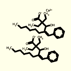 CCCCCCC(=Cc1ccccc1)C(O)C(CC)(CC)C(=O)[O-].CCCCCCC(=Cc1ccccc1)C(O)C(CC)(CC)C(=O)[O-].[Ca+2]